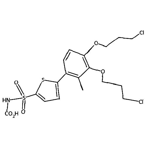 Cc1c(-c2ccc(S(=O)(=O)NC(=O)O)s2)ccc(OCCCCl)c1OCCCCl